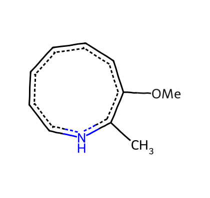 COc1cccccc[nH]c1C